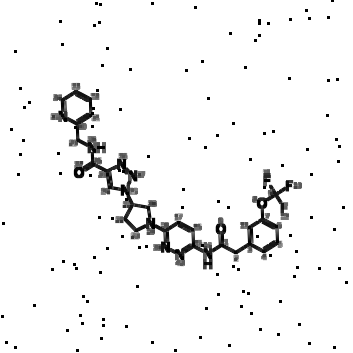 O=C(Cc1cccc(OC(F)(F)F)c1)Nc1ccc(N2CCC(n3cc(C(=O)NCc4ccccn4)nn3)C2)nn1